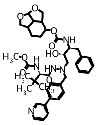 COC(=O)N[C@H](C(=O)NN(Cc1ccc(-c2cccnc2)cc1)C[C@H](O)[C@H](Cc1ccccc1)NC(=O)OC1CCC2COC3OCC1C23)C(C)(C)C